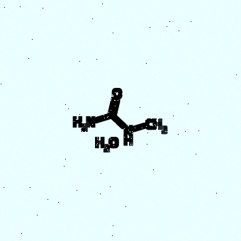 CNC(N)=O.O